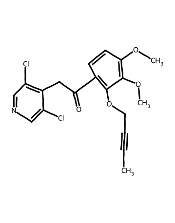 CC#CCOc1c(C(=O)Cc2c(Cl)cncc2Cl)ccc(OC)c1OC